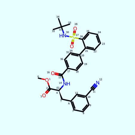 COC(=O)[C@H](Cc1cccc(C#N)c1)NC(=O)c1ccc(-c2ccccc2S(=O)(=O)NC(C)(C)C)cc1